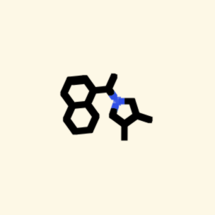 CC1CN(C(C)C2C=CCC3CCCCC32)CC1C